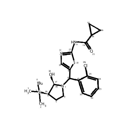 CC(C)(C)[Si](C)(C)[C@@H]1CCN(C(c2cnc(NC(=O)C3CC3)s2)c2ccccc2Cl)[C@@H]1O